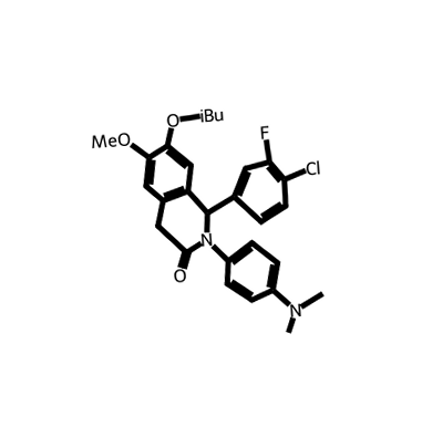 CCC(C)Oc1cc2c(cc1OC)CC(=O)N(c1ccc(N(C)C)cc1)C2c1ccc(Cl)c(F)c1